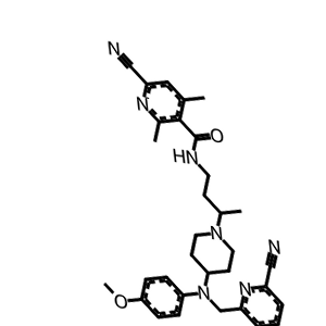 COc1ccc(N(Cc2cccc(C#N)n2)C2CCN(C(C)CCNC(=O)c3c(C)cc(C#N)nc3C)CC2)cc1